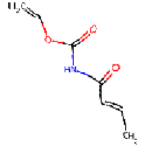 C=COC(=O)NC(=O)C=CC